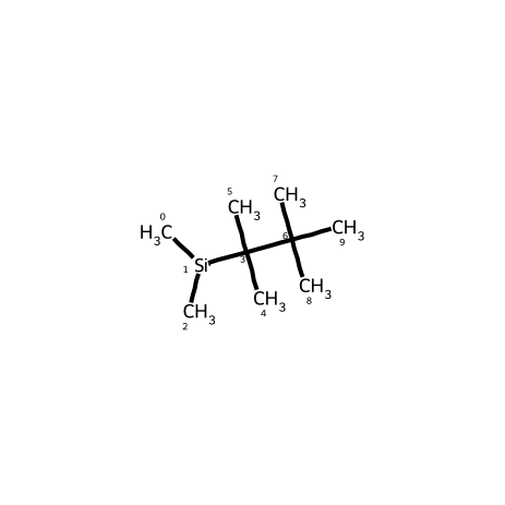 C[Si](C)C(C)(C)C(C)(C)C